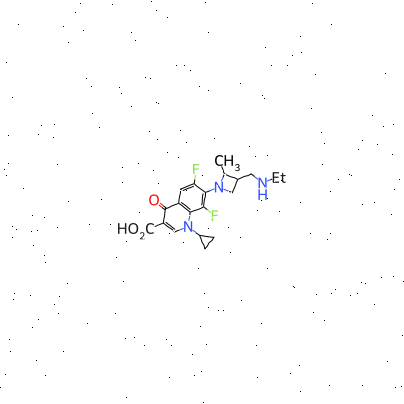 CCNCC1CN(c2c(F)cc3c(=O)c(C(=O)O)cn(C4CC4)c3c2F)C1C